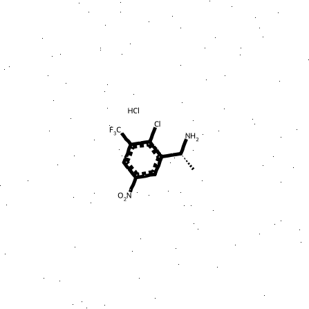 C[C@@H](N)c1cc([N+](=O)[O-])cc(C(F)(F)F)c1Cl.Cl